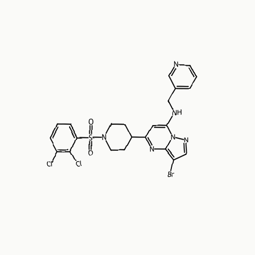 O=S(=O)(c1cccc(Cl)c1Cl)N1CCC(c2cc(NCc3cccnc3)n3ncc(Br)c3n2)CC1